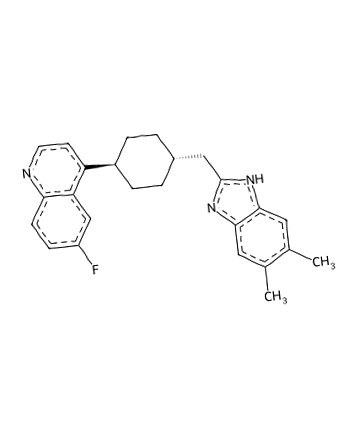 Cc1cc2nc(C[C@H]3CC[C@H](c4ccnc5ccc(F)cc54)CC3)[nH]c2cc1C